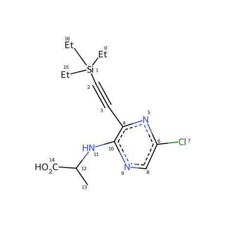 CC[Si](C#Cc1nc(Cl)cnc1NC(C)C(=O)O)(CC)CC